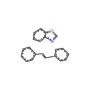 C(=Cc1ccccc1)c1ccccc1.c1ccc2scnc2c1